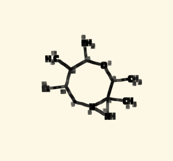 BC1OC(C)C2(C)NN2CC(CC)C1C